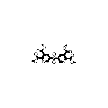 COC(=O)c1cc(S(=O)(=O)c2cnc(C(=O)OC)c(C(=O)OC)c2)cnc1C(=O)OC